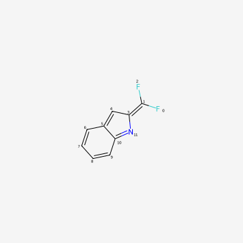 FC(F)=C1C=c2ccccc2=N1